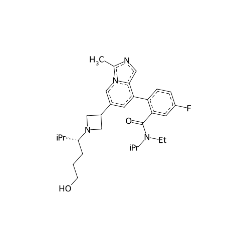 CCN(C(=O)c1cc(F)ccc1-c1cc(C2CN([C@H](CCCO)C(C)C)C2)cn2c(C)ncc12)C(C)C